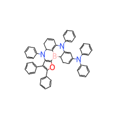 C1=CC2=C3B(c4oc(-c5ccccc5)c(-c5ccccc5)c4N(c4ccccc4)C3C1)C1CC=C(N(c3ccccc3)c3ccccc3)C=C1N2c1ccccc1